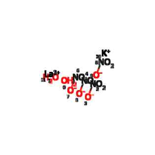 O.O.O=[N+]([O-])[O-].O=[N+]([O-])[O-].O=[N+]([O-])[O-].O=[N+]([O-])[O-].[K+].[La+3]